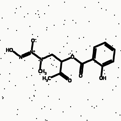 CC(=O)C(CN(C)[N+]([O-])=NO)OC(=O)c1ccccc1O